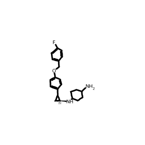 NC1CCC(N[C@H]2CC2c2ccc(OCc3ccc(F)cc3)cc2)CC1